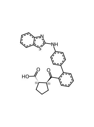 O=C(O)[C@H]1CCC[C@@H]1C(=O)c1ccccc1-c1ccc(Nc2nc3ccccc3s2)cc1